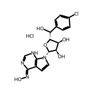 Cl.ON=c1nc[nH]c2c1ccn2[C@@H]1O[C@H](C(O)c2ccc(Cl)cc2)[C@@H](O)[C@H]1O